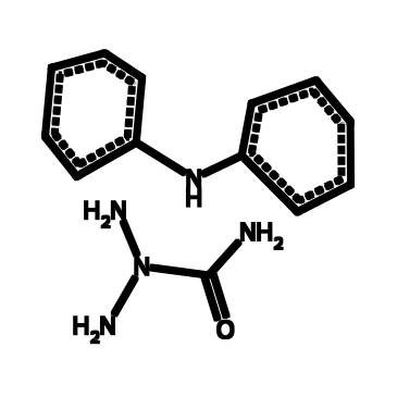 NC(=O)N(N)N.c1ccc(Nc2ccccc2)cc1